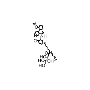 CSCCCN(CCCCSc1ccc(Cl)c(CNC2(c3cnccc3-c3ccccc3OC3CC3)CC2)c1)C(=O)CC(O)C(O)C(O)CO